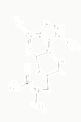 CN(CC1CCN(c2c([N+](=O)[O-])cnn2C)CC1)C(=O)O